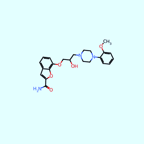 COc1ccccc1N1CCN(CC(O)COc2cccc3cc(C(N)=O)oc23)CC1